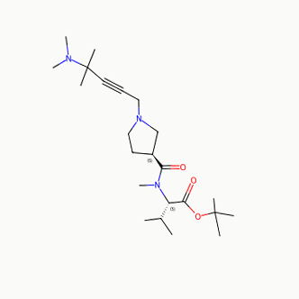 CC(C)[C@@H](C(=O)OC(C)(C)C)N(C)C(=O)[C@H]1CCN(CC#CC(C)(C)N(C)C)C1